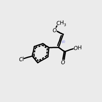 CO/C=C(/C(=O)O)c1ccc(Cl)cc1